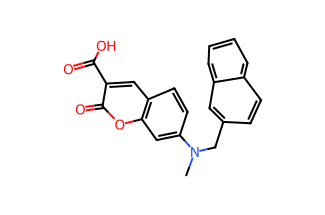 CN(Cc1ccc2ccccc2c1)c1ccc2cc(C(=O)O)c(=O)oc2c1